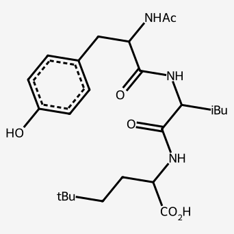 CCC(C)C(NC(=O)C(Cc1ccc(O)cc1)NC(C)=O)C(=O)NC(CCC(C)(C)C)C(=O)O